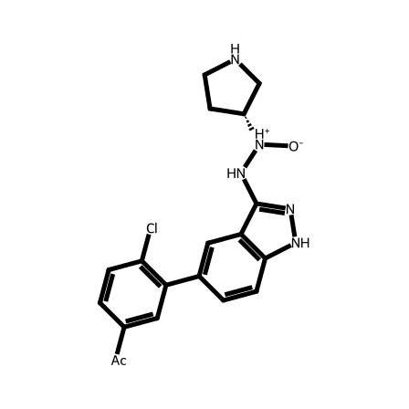 CC(=O)c1ccc(Cl)c(-c2ccc3[nH]nc(N[NH+]([O-])[C@@H]4CCNC4)c3c2)c1